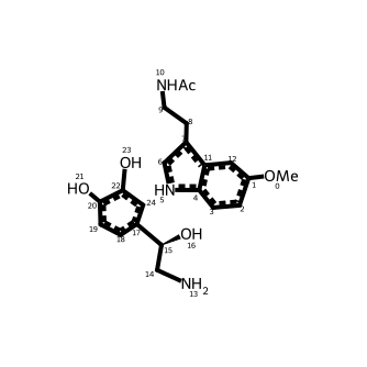 COc1ccc2[nH]cc(CCNC(C)=O)c2c1.NC[C@H](O)c1ccc(O)c(O)c1